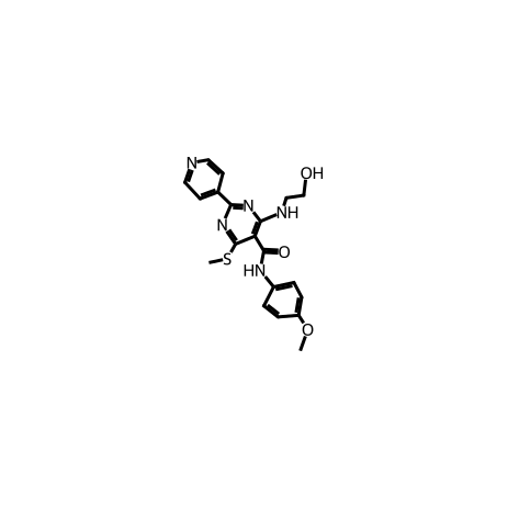 COc1ccc(NC(=O)c2c(NCCO)nc(-c3ccncc3)nc2SC)cc1